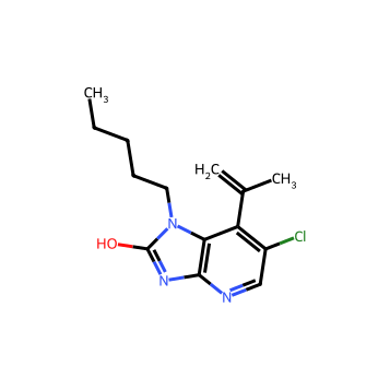 C=C(C)c1c(Cl)cnc2nc(O)n(CCCCC)c12